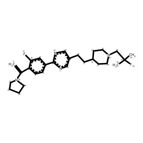 C=C(c1ccc(-c2ncc(CCC3CCN(CC(C)(C)F)CC3)cn2)cc1F)N1CCCC1